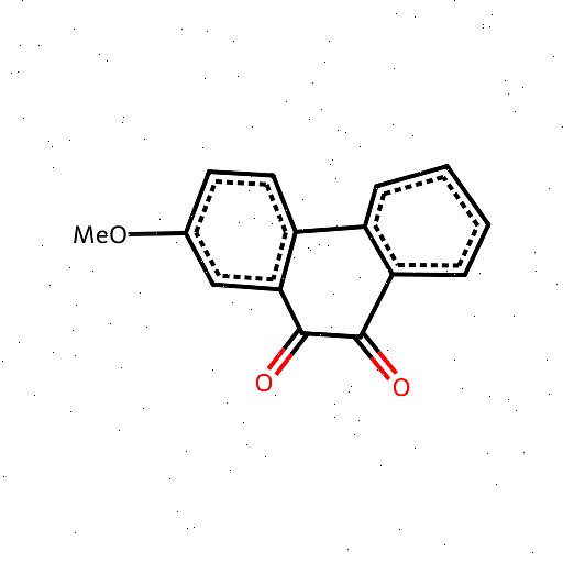 COc1ccc2c(c1)C(=O)C(=O)c1ccccc1-2